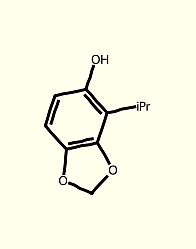 CC(C)c1c(O)ccc2c1OCO2